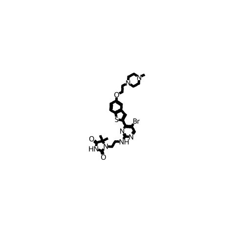 CN1CCN(CCOc2ccc3sc(-c4nc(NCCN5C(=O)NC(=O)C5(C)C)ncc4Br)cc3c2)CC1